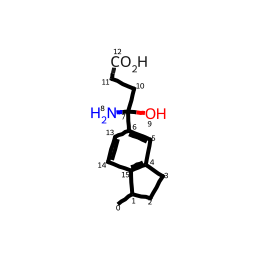 CC1CCc2cc(C(N)(O)CCC(=O)O)ccc21